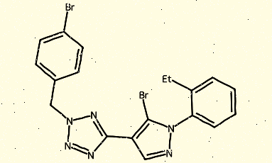 CCc1ccccc1-n1ncc(-c2nnn(Cc3ccc(Br)cc3)n2)c1Br